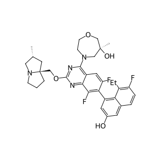 CCc1c(F)ccc2cc(O)cc(-c3c(F)cc4c(N5CCOC[C@@](C)(O)C5)nc(OC[C@@]56CCCN5C[C@H](C)C6)nc4c3F)c12